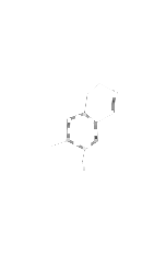 Fc1cc2c(cc1Br)C=NCC2